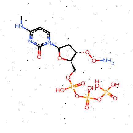 CNc1ccn([C@H]2C[C@H](OON)[C@@H](COP(=O)(O)OP(=O)(O)OP(=O)(O)O)O2)c(=O)n1